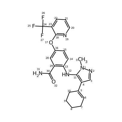 Cn1ncc(C2=CCCCC2)c1Nc1ccc(Oc2ncccc2C(F)(F)F)cc1C(N)=O